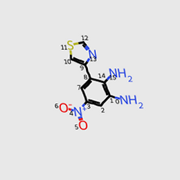 Nc1cc([N+](=O)[O-])cc(-c2cscn2)c1N